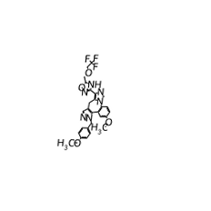 COc1ccc(Cn2ncc3c2-c2cc(OC)ccc2-n2cnc(C4=NOC(COCC(F)(F)F)N4)c2C3)cc1